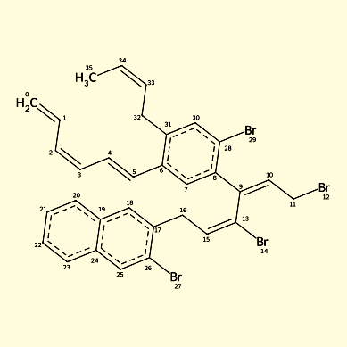 C=C/C=C\C=C\c1cc(C(=C/CBr)/C(Br)=C\Cc2cc3ccccc3cc2Br)c(Br)cc1C/C=C\C